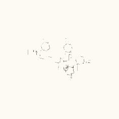 CCN1C=CC(=CC=C(N=C(B(c2ccc(F)cc2)c2ccc(F)cc2)c2ccc(F)cc2)C(=O)O)c2ccccc21